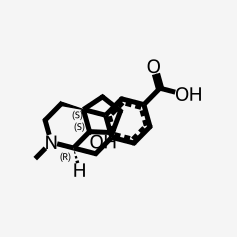 CN1CC[C@]23CCC[C@@]2(O)[C@H]1Cc1ccc(C(=O)O)cc13